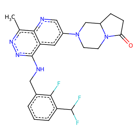 Cc1nnc(NCc2cccc(C(F)F)c2F)c2cc(N3CCN4C(=O)CCC4C3)cnc12